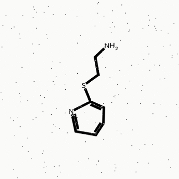 NCCSc1ccccn1